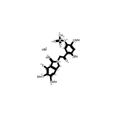 Br.COc1cc(C(C)(C)C)c(C(=O)CN2Cc3cc(OC)c(OC)c(F)c3C2=N)cc1OS(C)(=O)=O